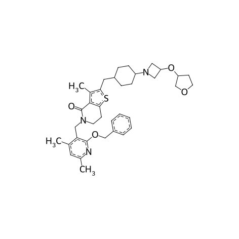 Cc1cc(C)c(CN2CCc3sc(CC4CCC(N5CC(OC6CCOC6)C5)CC4)c(C)c3C2=O)c(OCc2ccccc2)n1